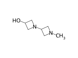 CN1CC(N2CC(O)C2)C1